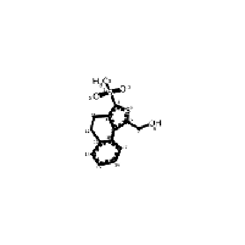 CS(=O)(=O)c1sc(CO)c2c1CCc1ccccc1-2